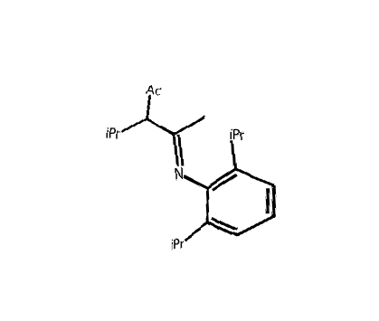 CC(=O)C(C(C)=Nc1c(C(C)C)cccc1C(C)C)C(C)C